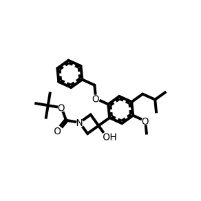 COc1cc(C2(O)CN(C(=O)OC(C)(C)C)C2)c(OCc2ccccc2)cc1CC(C)C